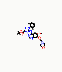 COc1cc2c(/N=C(\NCC(=O)OC(C)(C)C)Nc3c(C)cccc3C)ncnc2cc1OCCN1CCOCC1